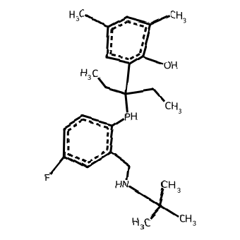 CCC(CC)(Pc1ccc(F)cc1CNC(C)(C)C)c1cc(C)cc(C)c1O